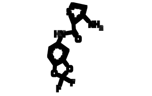 Nc1ccsc1C(=O)Nc1ccc2c(c1)OC(F)(F)O2